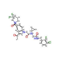 CC(=O)c1cn(CC(=O)N(CC(=O)NCc2cccc(Cl)c2F)C2CC2)c2ccc(C(=O)N3CCCC(F)(F)C3)cc12